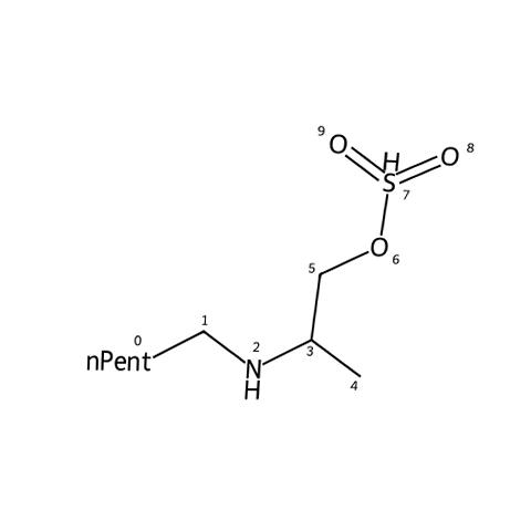 CCCCCCNC(C)CO[SH](=O)=O